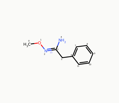 CO/N=C(\N)Cc1ccccc1